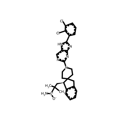 CC(C)(C[C@@H]1c2ccccc2CC12CCN(c1ncc3[nH]c(-c4cccc(Cl)c4Cl)nc3n1)CC2)[S+](N)[O-]